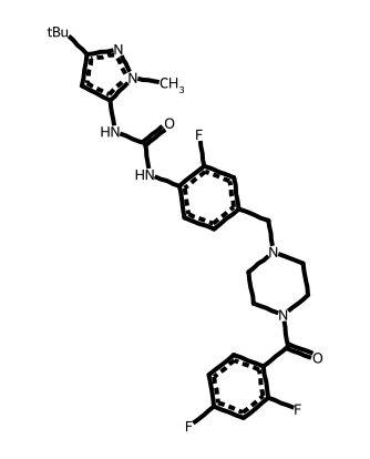 Cn1nc(C(C)(C)C)cc1NC(=O)Nc1ccc(CN2CCN(C(=O)c3ccc(F)cc3F)CC2)cc1F